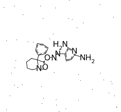 CN1CCCCC1(C(=O)ON=Nc1ccc(N)nc1N)c1ccccc1